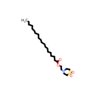 CCCCCCCCCCCCCCCCCCCC(=O)OCCN1CCS(=O)(=O)CC1